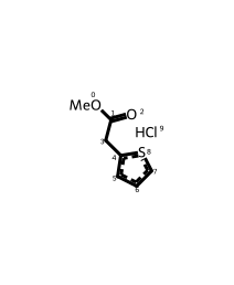 COC(=O)Cc1cccs1.Cl